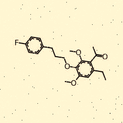 CCc1cc(OC)c(OCCCc2ccc(F)cc2)c(OC)c1C(C)=O